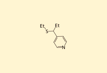 [CH2]CC(SCC)c1ccncc1